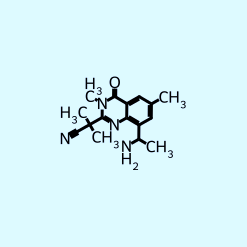 Cc1cc(C(C)N)c2nc(C(C)(C)C#N)n(C)c(=O)c2c1